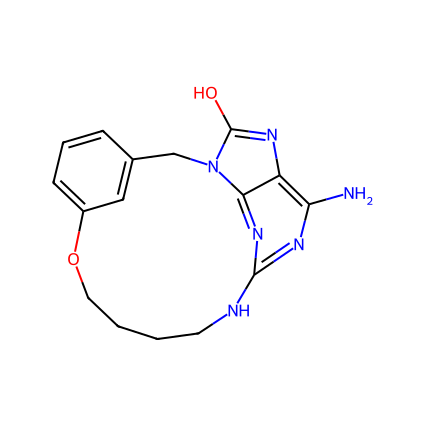 Nc1nc2nc3c1nc(O)n3Cc1cccc(c1)OCCCCN2